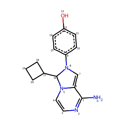 NC1=NC=CN2C1=CN(c1ccc(O)cc1)C2C1CCC1